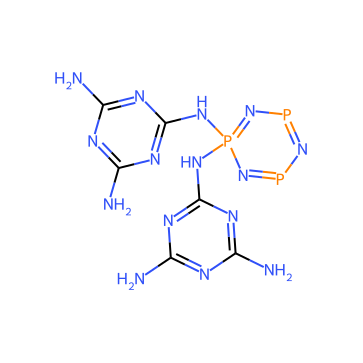 Nc1nc(N)nc(NP2(Nc3nc(N)nc(N)n3)=NP=NP=N2)n1